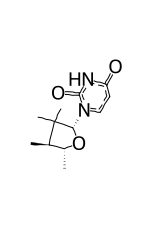 C[C@@H]1[C@@H](C)O[C@@H](n2ccc(=O)[nH]c2=O)C1(C)C